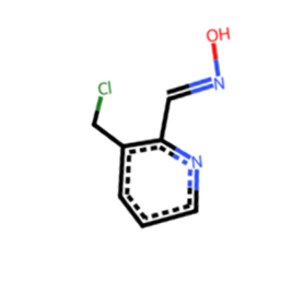 ON=Cc1ncccc1CCl